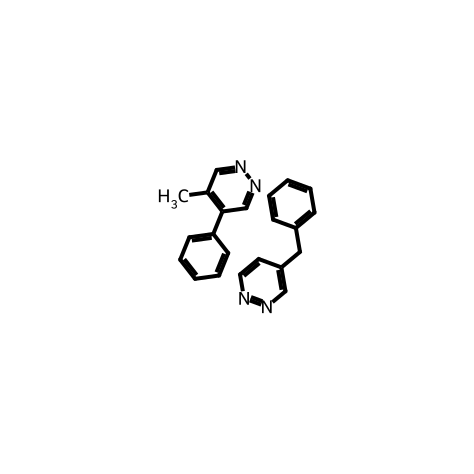 Cc1cnncc1-c1ccccc1.c1ccc(Cc2ccnnc2)cc1